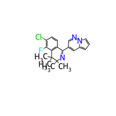 CC1(C)N=C(c2cnn3cccc3c2)c2ccc(Cl)c(F)c2C1(C)C